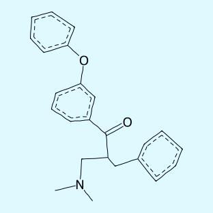 CN(C)CC(Cc1ccccc1)C(=O)c1cccc(Oc2ccccc2)c1